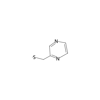 [S]Cc1cnccn1